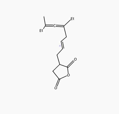 CCC(C)=C=C(CC)C/C=C/CC1CC(=O)OC1=O